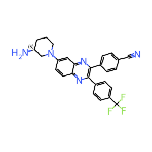 N#Cc1ccc(-c2nc3cc(N4CCC[C@H](N)C4)ccc3nc2-c2ccc(C(F)(F)F)cc2)cc1